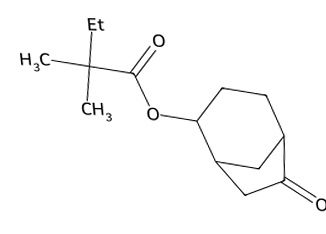 CCC(C)(C)C(=O)OC1CCC2CC1CC2=O